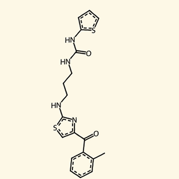 Cc1ccccc1C(=O)c1csc(NCCCNC(=O)Nc2cccs2)n1